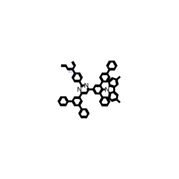 C=C/C=C(\C=C)c1ccc(-c2nc(-c3cc(-c4ccccc4)cc(-c4ccccc4)c3)cc(-c3cc(-c4ccccc4)c(-n4c5ccc(C)cc5c5cc(C)ccc54)c(-c4ccc(-c5ccccc5)cc4)c3)n2)cc1